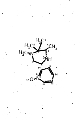 CC1NCCN(C)C1(C)C.[O-][n+]1ccccc1